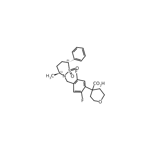 C[C@H]1CC[C@H](c2ccccc2)S(=O)(=O)N1Cc1cc(F)c(C2(C(=O)O)CCOCC2)cc1F